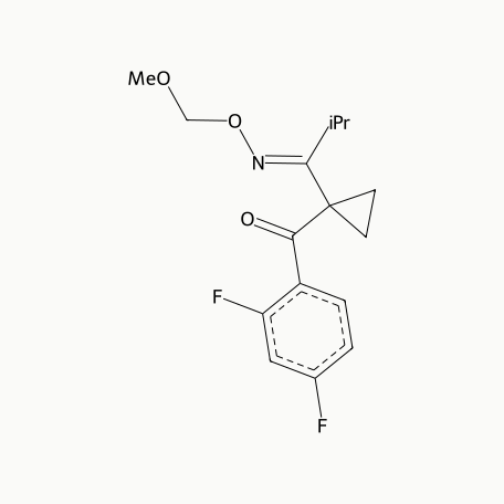 COCON=C(C(C)C)C1(C(=O)c2ccc(F)cc2F)CC1